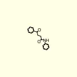 O=C(CCC(=O)c1ccccc1)Nc1ccccc1